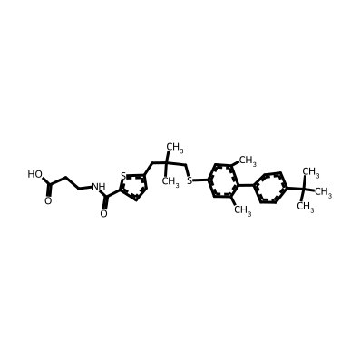 Cc1cc(SCC(C)(C)Cc2ccc(C(=O)NCCC(=O)O)s2)cc(C)c1-c1ccc(C(C)(C)C)cc1